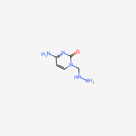 NNCn1ccc(N)nc1=O